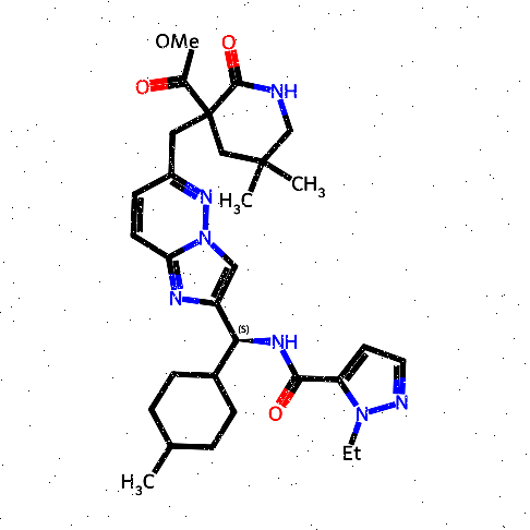 CCn1nccc1C(=O)N[C@H](c1cn2nc(CC3(C(=O)OC)CC(C)(C)CNC3=O)ccc2n1)C1CCC(C)CC1